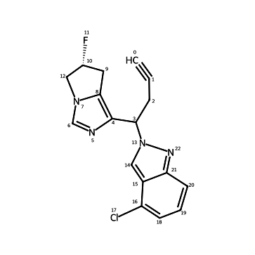 C#CCC(c1ncn2c1C[C@@H](F)C2)n1cc2c(Cl)cccc2n1